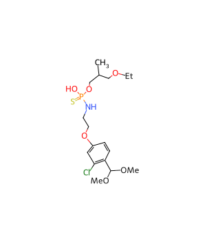 CCOCC(C)COP(O)(=S)NCCOc1ccc(C(OC)OC)c(Cl)c1